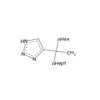 CCCCCCCC(C)(CCCCCC)c1c[nH]nn1